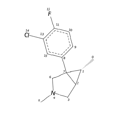 C[C@@H]1C2CN(C)CC21c1ccc(F)c(Cl)c1